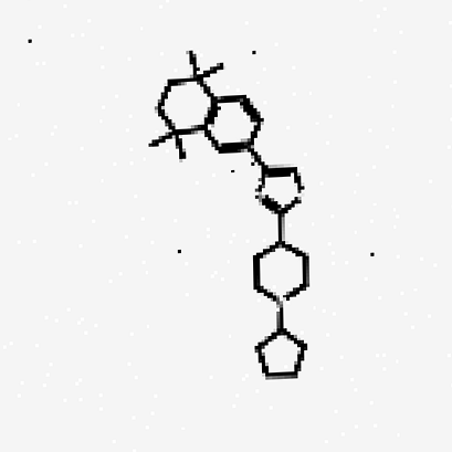 CC1(C)CCC(C)(C)c2cc(-c3csc(C4CCN(C5CCCC5)CC4)n3)ccc21